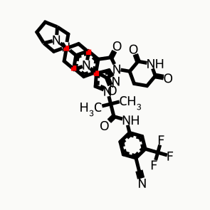 CC(C)(C(=O)Nc1ccc(C#N)c(C(F)(F)F)c1)n1cc(N2CCC(N3C4CCC3CN(c3ccc5c(c3)C(=O)N(C3CCC(=O)NC3=O)C5=O)C4)CC2)cn1